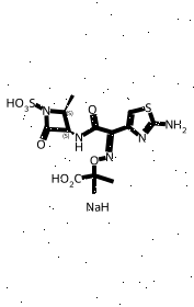 C[C@H]1[C@H](NC(=O)C(=NOC(C)(C)C(=O)O)c2csc(N)n2)C(=O)N1S(=O)(=O)O.[NaH]